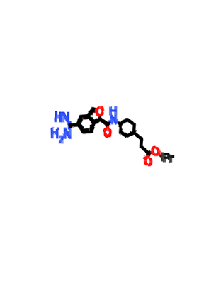 CC(C)OC(=O)CCC1CCC(NC(=O)c2occ3cc(C(=N)N)ccc23)CC1